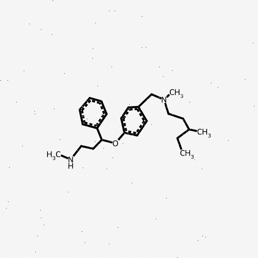 CCC(C)CCN(C)Cc1ccc(OC(CCNC)c2ccccc2)cc1